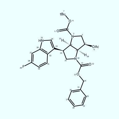 CC(=O)O[C@@H]1CN(C(=O)OC(C)(C)C)[C@H]2[C@@H]1N(C(=O)OCc1ccccc1)C[C@H]2c1c[nH]c2cc(F)ccc12